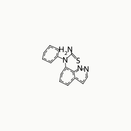 NC(=S)N(c1ccccc1)c1cccc2ccnnc12